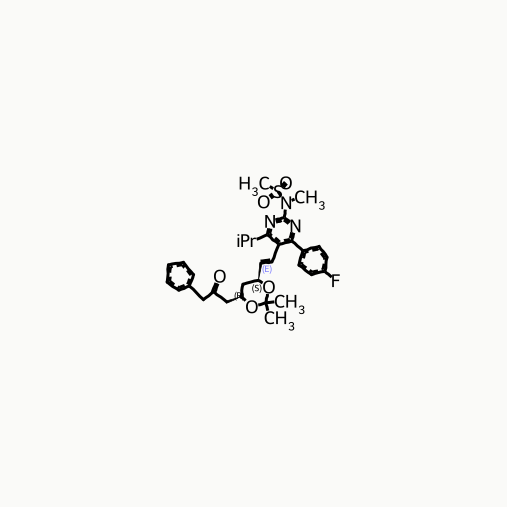 CC(C)c1nc(N(C)S(C)(=O)=O)nc(-c2ccc(F)cc2)c1/C=C/[C@@H]1C[C@H](CC(=O)Cc2ccccc2)OC(C)(C)O1